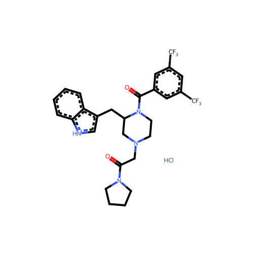 Cl.O=C(CN1CCN(C(=O)c2cc(C(F)(F)F)cc(C(F)(F)F)c2)C(Cc2c[nH]c3ccccc23)C1)N1CCCC1